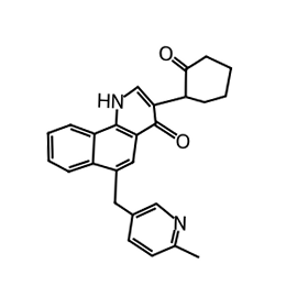 Cc1ccc(Cc2cc3c(=O)c(C4CCCCC4=O)c[nH]c3c3ccccc23)cn1